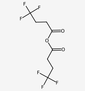 O=C(CCC(F)(F)F)OC(=O)CCC(F)(F)F